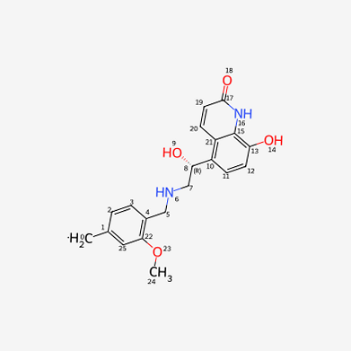 [CH2]c1ccc(CNC[C@H](O)c2ccc(O)c3[nH]c(=O)ccc23)c(OC)c1